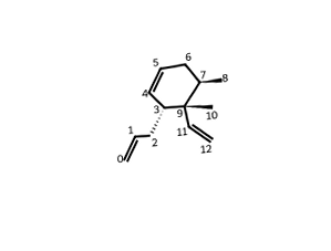 C=CC[C@@H]1C=CC[C@@H](C)[C@]1(C)C=C